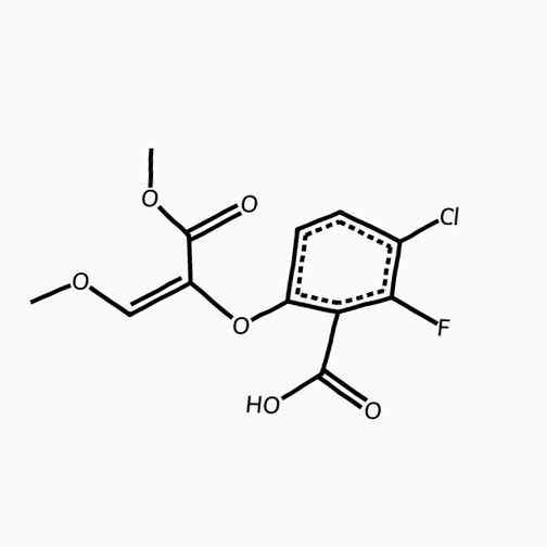 CO/C=C(/Oc1ccc(Cl)c(F)c1C(=O)O)C(=O)OC